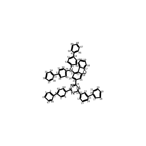 c1ccc(-c2ccc(-c3nc(-c4cccc(-c5ccccc5)c4)nc(-c4cc(N(c5ccc(-c6ccccc6)cc5)c5ccc(-c6ccccc6)cc5)c5c(c4)oc4ccccc45)n3)cc2)cc1